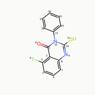 O=c1c2c(F)cccc2nc(S)n1-c1ccccc1